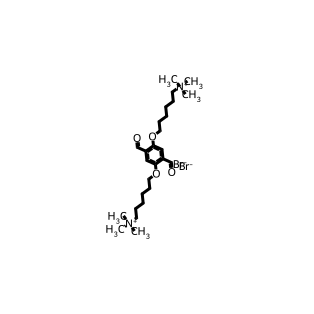 C[N+](C)(C)CCCCCCOc1cc(C=O)c(OCCCCCC[N+](C)(C)C)cc1C=O.[Br-].[Br-]